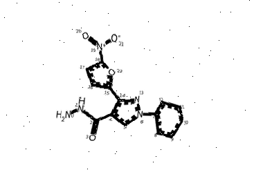 NNC(=O)c1cn(-c2ccccc2)nc1-c1ccc([N+](=O)[O-])o1